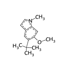 COc1cc2c(ccn2C)cc1C(C)(C)C